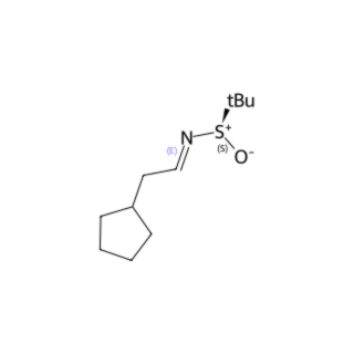 CC(C)(C)[S@@+]([O-])/N=C/CC1CCCC1